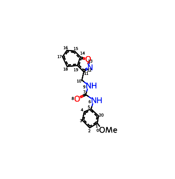 COc1cccc(NC(=O)NCc2noc3ccccc23)c1